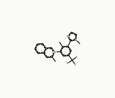 Cc1c(-c2nccn2C)cc(C(F)(F)F)cc1-[n+]1cc2ccccc2cc1C